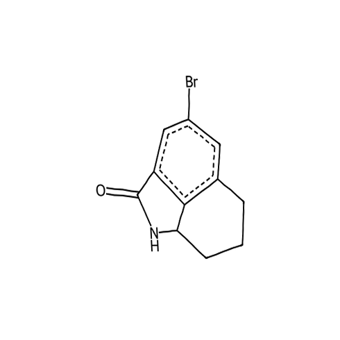 O=C1NC2CCCc3cc(Br)cc1c32